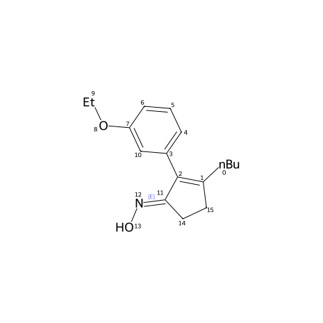 CCCCC1=C(c2cccc(OCC)c2)/C(=N/O)CC1